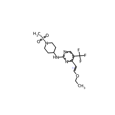 CCO/C=C/c1nc(NC2CCN(S(C)(=O)=O)CC2)ncc1C(F)(F)F